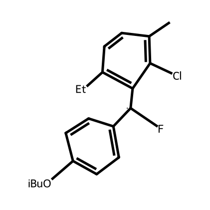 CCc1ccc(C)c(Cl)c1[C](F)c1ccc(OCC(C)C)cc1